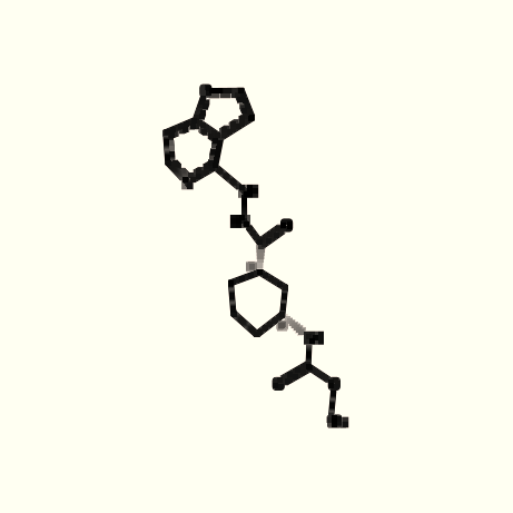 CC(C)(C)OC(=O)N[C@@H]1CCC[C@H](C(=O)NNc2nccc3occc23)C1